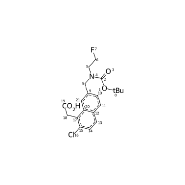 CC(C)(C)OC(=O)N(CCF)Cc1ccc2ccc(Cl)c(CC(=O)O)c2c1